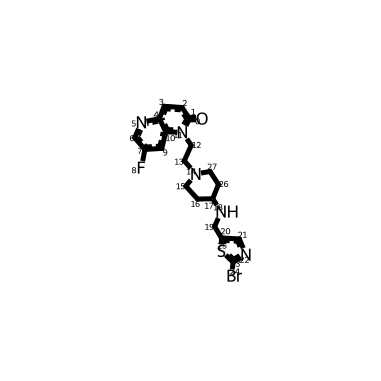 O=c1ccc2ncc(F)cc2n1CCN1CCC(NCc2cnc(Br)s2)CC1